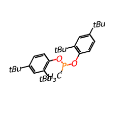 CP(Oc1ccc(C(C)(C)C)cc1C(C)(C)C)Oc1ccc(C(C)(C)C)cc1C(C)(C)C